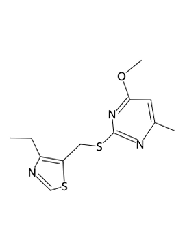 CCc1ncsc1CSc1nc(C)cc(OC)n1